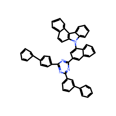 c1ccc(-c2ccc(-c3nc(-c4cccc(-c5ccccc5)c4)nc(-c4cc(-n5c6ccccc6c6c7ccccc7ccc65)c5ccccc5c4)n3)cc2)cc1